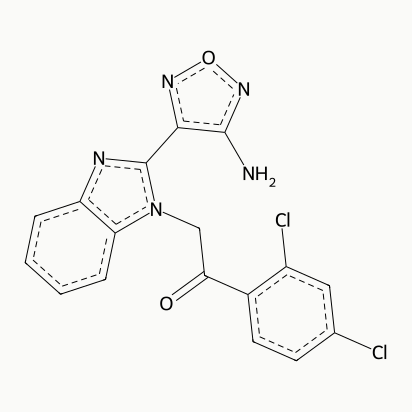 Nc1nonc1-c1nc2ccccc2n1CC(=O)c1ccc(Cl)cc1Cl